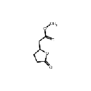 COC(=O)CC1CCC(=O)O1